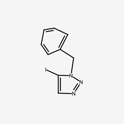 Ic1cnnn1Cc1ccccc1